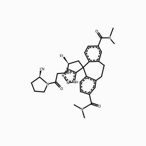 CC[C@@H](CC1(c2nnn[nH]2)c2ccc(C(=O)N(C)C)cc2CCc2cc(C(=O)N(C)C)ccc21)NCC(=O)N1CCC[C@H]1C#N